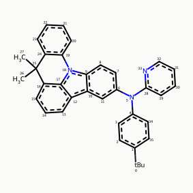 CC(C)(C)c1ccc(N(c2ccc3c(c2)c2cccc4c2n3-c2ccccc2C4(C)C)c2ccccn2)cc1